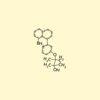 Bc1cccc2cccc(-c3cccc(OC(C)(C)C(C)(C)O)c3)c12